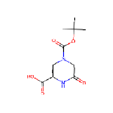 CC(C)(C)OC(=O)N1CC(=O)NC(C(=O)O)C1